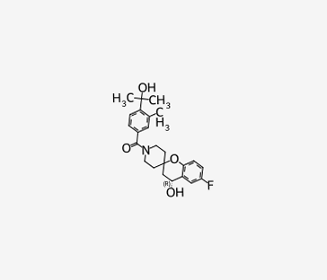 Cc1cc(C(=O)N2CCC3(CC2)C[C@@H](O)c2cc(F)ccc2O3)ccc1C(C)(C)O